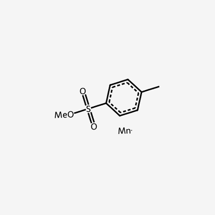 COS(=O)(=O)c1ccc(C)cc1.[Mn]